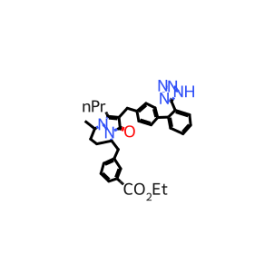 CCCc1c(Cc2ccc(-c3ccccc3-c3nnn[nH]3)cc2)c(=O)n2n1C(C)CCC2Cc1cccc(C(=O)OCC)c1